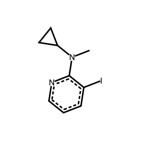 CN(c1ncccc1I)C1CC1